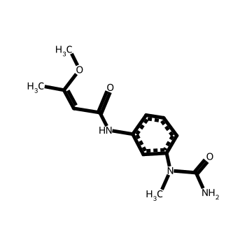 COC(C)=CC(=O)Nc1cccc(N(C)C(N)=O)c1